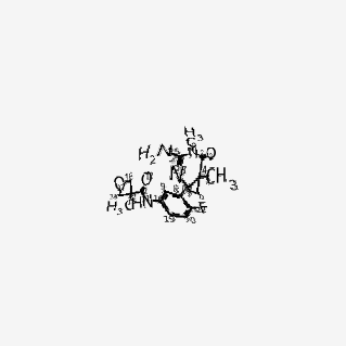 CN1C(=O)C2(C)C[C@]2(c2cc(NC(=O)C3(C)COC3)ccc2F)N=C1N